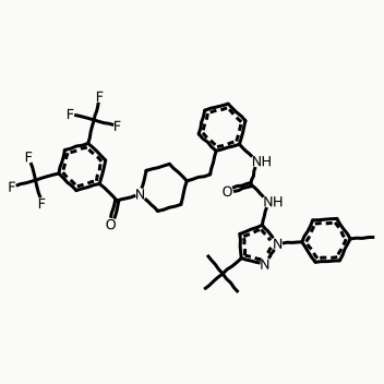 Cc1ccc(-n2nc(C(C)(C)C)cc2NC(=O)Nc2ccccc2CC2CCN(C(=O)c3cc(C(F)(F)F)cc(C(F)(F)F)c3)CC2)cc1